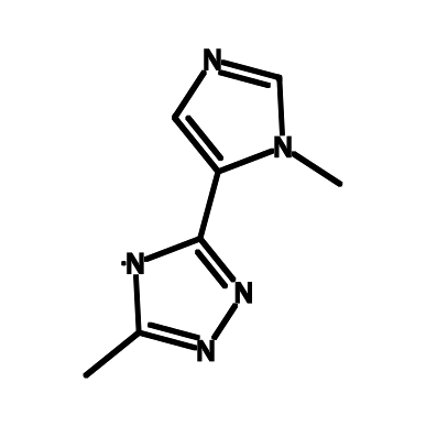 CC1=NN=C(c2cncn2C)[N]1